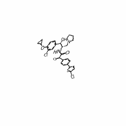 O=C(N[C@H](CN1CCCC1)[C@H](O)c1ccc(OC2CC2)c(Cl)c1)C(=O)c1ccc(-c2ccc(Cl)s2)cc1